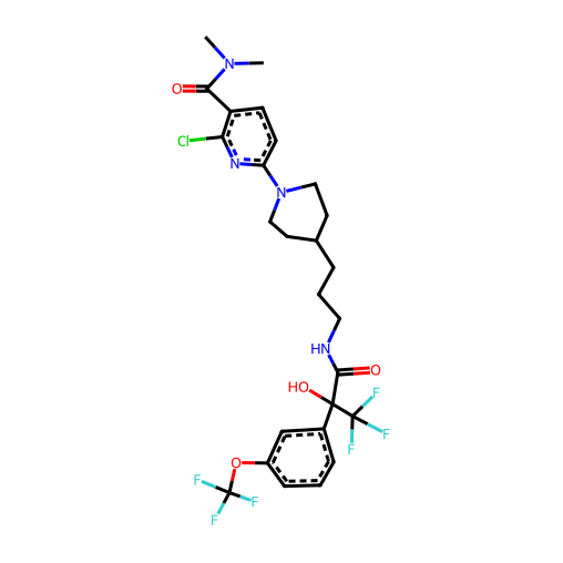 CN(C)C(=O)c1ccc(N2CCC(CCCNC(=O)C(O)(c3cccc(OC(F)(F)F)c3)C(F)(F)F)CC2)nc1Cl